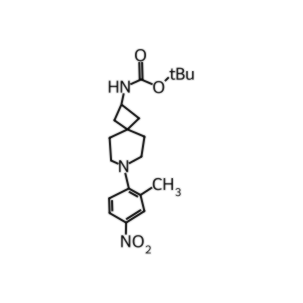 Cc1cc([N+](=O)[O-])ccc1N1CCC2(CC1)CC(NC(=O)OC(C)(C)C)C2